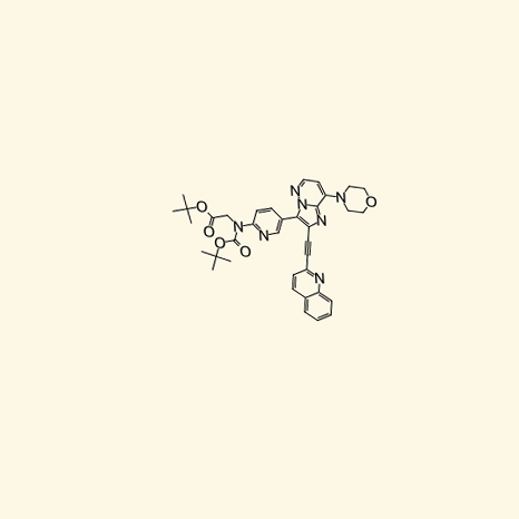 CC(C)(C)OC(=O)CN(C(=O)OC(C)(C)C)c1ccc(-c2c(C#Cc3ccc4ccccc4n3)nc3c(N4CCOCC4)ccnn23)cn1